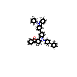 c1ccc(-c2ccc(-n3c4ccc(-c5ccc6c(c5)c5ccccc5n6-c5ccccc5)cc4c4c5oc6ccccc6c5ccc43)cc2)cc1